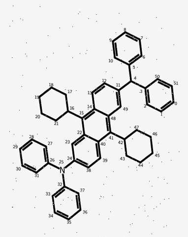 c1ccc(C(c2ccccc2)c2ccc3c(C4CCCCC4)c4cc(N(c5ccccc5)c5ccccc5)ccc4c(C4CCCCC4)c3c2)cc1